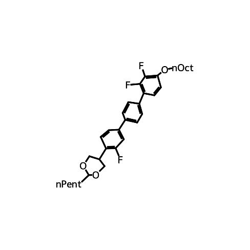 CCCCCCCCOc1ccc(-c2ccc(-c3ccc(C4COC(CCCCC)OC4)c(F)c3)cc2)c(F)c1F